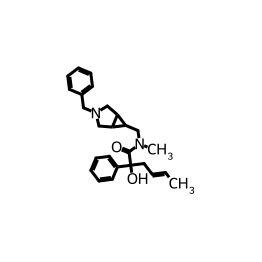 CC=CCC(O)(C(=O)N(C)CC1C2CN(Cc3ccccc3)CC21)c1ccccc1